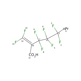 CCCC(F)(F)C(F)(F)C(F)(F)C(C(=O)O)=C(F)F